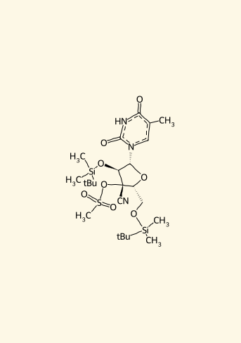 Cc1cn([C@@H]2O[C@H](CO[Si](C)(C)C(C)(C)C)[C@](C#N)(OS(C)(=O)=O)[C@H]2O[Si](C)(C)C(C)(C)C)c(=O)[nH]c1=O